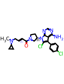 CN(C/C=C/C(=O)N1CC[C@@H](n2c(Cl)c(-c3ccc(Cl)cc3)c3c(N)ncnc32)C1)C1CC1